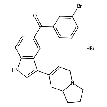 Br.O=C(c1cccc(Br)c1)c1ccc2[nH]cc(C3=CCN4CCCC4C3)c2c1